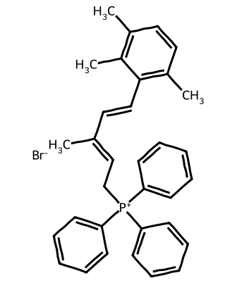 CC(C=Cc1c(C)ccc(C)c1C)=CC[P+](c1ccccc1)(c1ccccc1)c1ccccc1.[Br-]